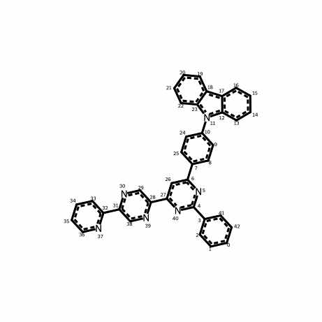 c1ccc(-c2nc(-c3ccc(-n4c5ccccc5c5ccccc54)cc3)cc(-c3cnc(-c4ccccn4)cn3)n2)cc1